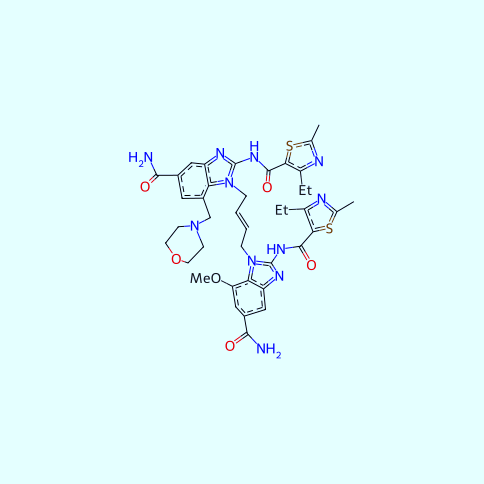 CCc1nc(C)sc1C(=O)Nc1nc2cc(C(N)=O)cc(CN3CCOCC3)c2n1CC=CCn1c(NC(=O)c2sc(C)nc2CC)nc2cc(C(N)=O)cc(OC)c21